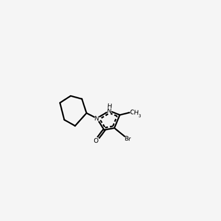 Cc1[nH]n(C2CCCCC2)c(=O)c1Br